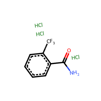 Cl.Cl.Cl.NC(=O)c1ccccc1C(F)(F)F